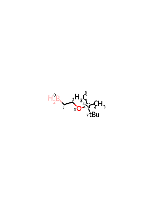 BCCO[Si](C)(C)C(C)(C)C